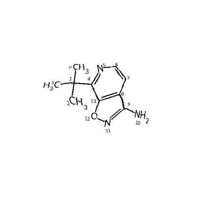 CC(C)(C)c1nccc2c(N)noc12